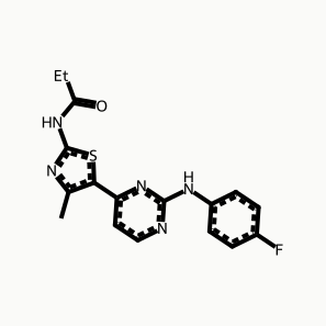 CCC(=O)Nc1nc(C)c(-c2ccnc(Nc3ccc(F)cc3)n2)s1